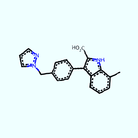 Cc1cccc2c(-c3ccc(Cn4cccn4)cc3)c(C(=O)O)[nH]c12